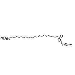 CCCCCCCCCCCCCCCCCCCCCCCCCCCCCCCC(=O)OCCCCCCCCCCCC